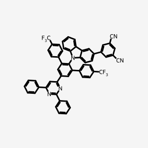 N#Cc1cc(C#N)cc(-c2ccc3c(c2)c2ccccc2n3-c2c(-c3ccc(C(F)(F)F)cc3)cc(-c3cc(-c4ccccc4)nc(-c4ccccc4)n3)cc2-c2ccc(C(F)(F)F)cc2)c1